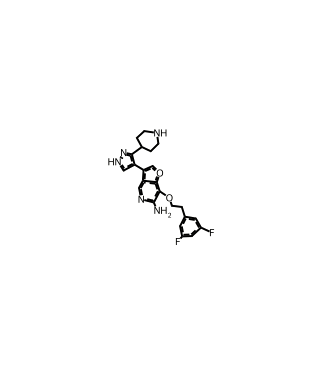 Nc1ncc2c(-c3c[nH]nc3C3CCNCC3)coc2c1OCCc1cc(F)cc(F)c1